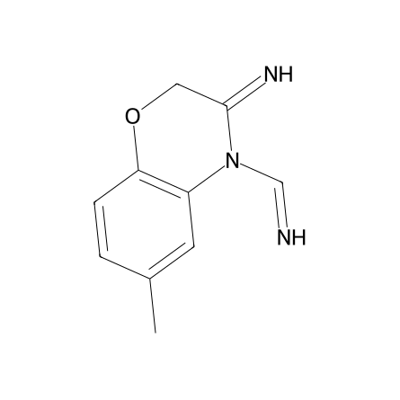 Cc1ccc2c(c1)N(C=N)C(=N)CO2